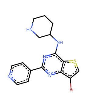 Brc1csc2c(NC3CCCNC3)nc(-c3ccncc3)nc12